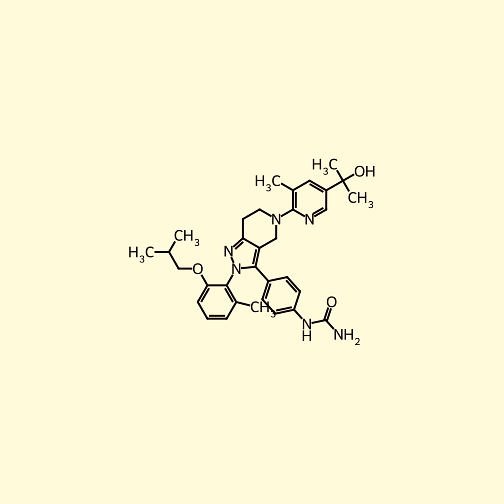 Cc1cc(C(C)(C)O)cnc1N1CCc2nn(-c3c(C)cccc3OCC(C)C)c(-c3ccc(NC(N)=O)cc3)c2C1